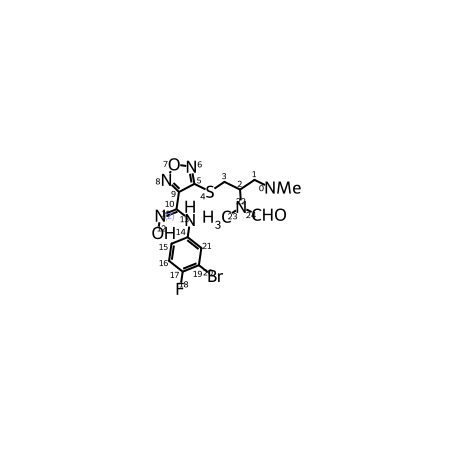 CNCC(CSc1nonc1/C(=N/O)Nc1ccc(F)c(Br)c1)N(C)C=O